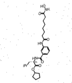 CC(C)C[C@H](NC(=O)c1cccc(NC(=O)CCCCCCC(=O)NO)c1)C(=O)OC1CCCC1